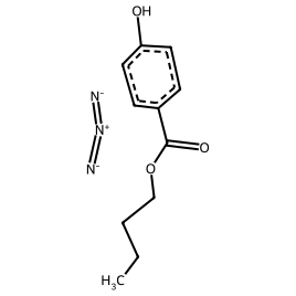 CCCCOC(=O)c1ccc(O)cc1.[N-]=[N+]=[N-]